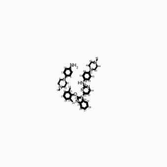 CN1CCN(c2ccc(N)cc2)CC1.Cc1cccc(C)c1Oc1nc2ccccc2n1-c1ccnc(Nc2ccc(N3CCN(C)CC3)cc2)n1